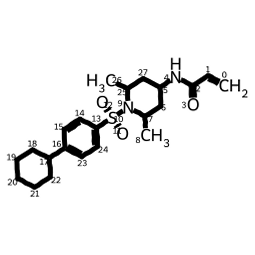 C=CC(=O)NC1CC(C)N(S(=O)(=O)c2ccc(C3CCCCC3)cc2)C(C)C1